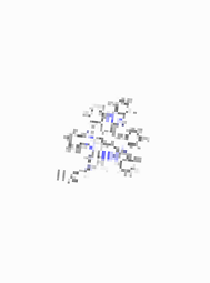 C=C/C=C\C=C(/C)n1c(C2=CC(C3Nc4ccccc4N3c3ccccc3)CC(c3nc4ccccc4n3-c3ccccc3)=C2)nc2ccccc21